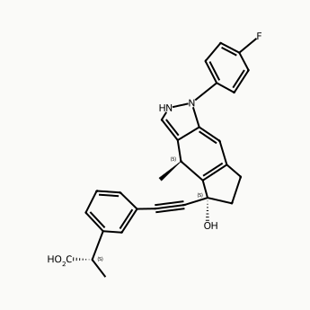 C[C@H]1C2=CNN(c3ccc(F)cc3)C2=CC2=C1[C@](O)(C#Cc1cccc([C@H](C)C(=O)O)c1)CC2